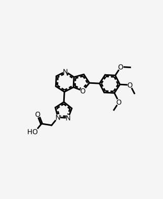 COc1cc(-c2cc3nccc(-c4cnn(CC(=O)O)c4)c3o2)cc(OC)c1OC